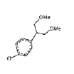 COCC(COC)c1ccc(Cl)cc1